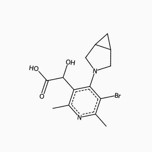 Cc1nc(C)c(C(O)C(=O)O)c(N2CC3CC3C2)c1Br